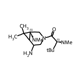 CN[C@H](C(=O)N1CC(N)C2C(C)(C)[C@]2(NC)C1)C(C)(C)C